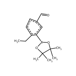 CCc1ccc(C=O)cc1B1OC(C)(C)C(C)(C)O1